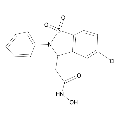 O=C(CC1c2cc(Cl)ccc2S(=O)(=O)N1c1ccccc1)NO